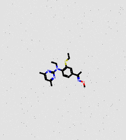 CCSc1cc(/C(C)=N/OC)ccc1N(CC)c1nc(C)cc(C)n1